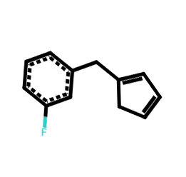 Fc1cccc(CC2=CC=CC2)c1